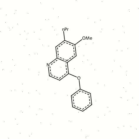 CCCc1cc2nccc(Oc3ccccc3)c2cc1OC